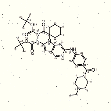 CCN1CCN(C(=O)c2ccc(Nc3ncc4cc5n(c4n3)C3(CCCCC3)C(=O)N(C(=O)OC(C)(C)C)N5C(=O)OC(C)(C)C)cc2)CC1